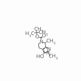 C[C@H]1c2nn(C)c(O)c2CCN1C(=O)OC(C)(C)C